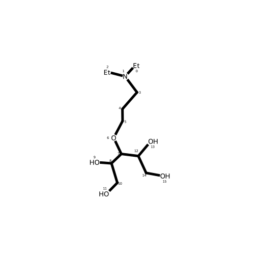 CCN(CC)CCCOC(C(O)CO)C(O)CO